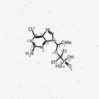 CCC(CC)(OC(OC)n1cnc2c(Cl)nc(N)nc21)P(=O)(O)O